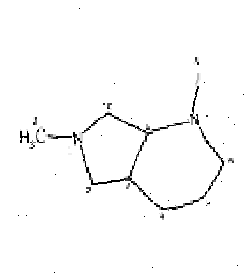 CN1CC2CCCN(I)C2C1